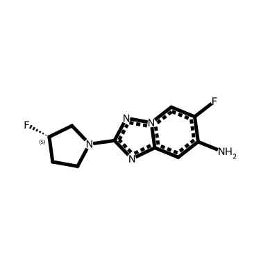 Nc1cc2nc(N3CC[C@H](F)C3)nn2cc1F